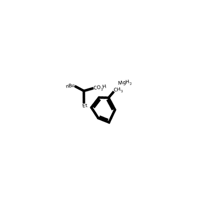 CCCCC(CC)C(=O)O.Cc1ccccc1.[MgH2]